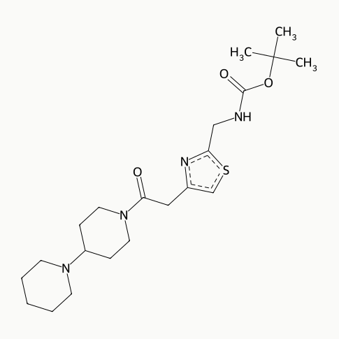 CC(C)(C)OC(=O)NCc1nc(CC(=O)N2CCC(N3CCCCC3)CC2)cs1